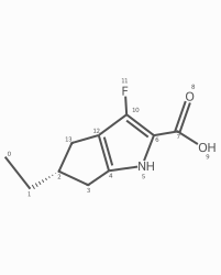 CC[C@H]1Cc2[nH]c(C(=O)O)c(F)c2C1